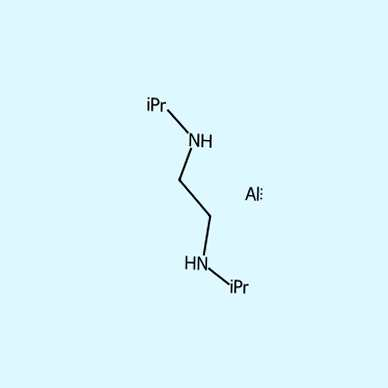 CC(C)NCCNC(C)C.[Al]